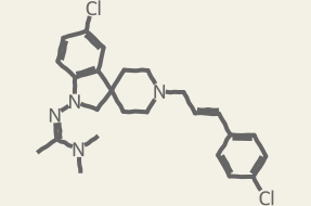 CC(=NN1CC2(CCN(CC=Cc3ccc(Cl)cc3)CC2)c2cc(Cl)ccc21)N(C)C